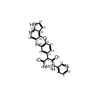 NC(=O)C(C(=O)Nc1cccnc1)c1ccc(Oc2ccnc3[nH]ccc23)c(F)c1